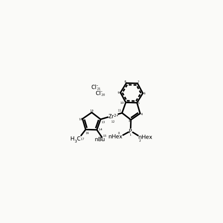 CCCCCCP(CCCCCC)C1=Cc2ccccc2[CH]1[Zr+2][C]1=C(CCCC)C(C)=CC1.[Cl-].[Cl-]